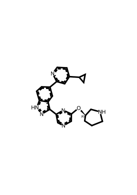 c1cc(C2CC2)cc(-c2ccc3[nH]nc(-c4cncc(O[C@@H]5CCCNC5)n4)c3c2)n1